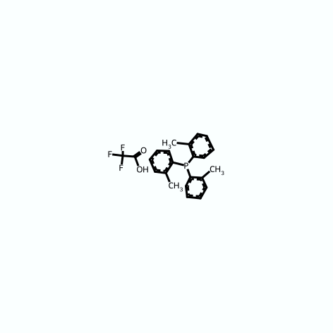 Cc1ccccc1P(c1ccccc1C)c1ccccc1C.O=C(O)C(F)(F)F